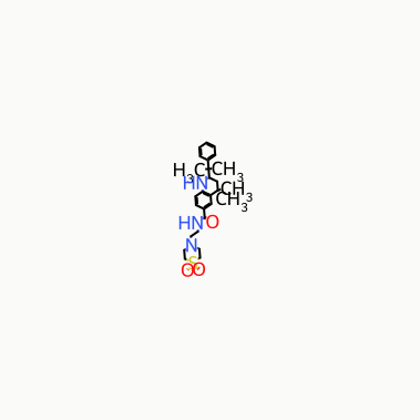 CC1(C)CC(C(C)(C)c2ccccc2)Nc2ccc(C(=O)NCCN3CCS(=O)(=O)CC3)cc21